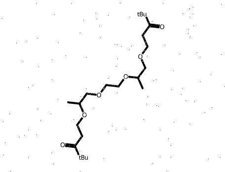 CC(COCCC(=O)C(C)(C)C)OCCOCC(C)OCCC(=O)C(C)(C)C